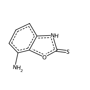 Nc1cccc2[nH]c(=S)oc12